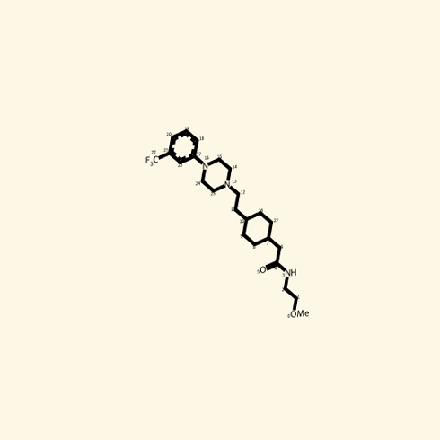 COCCNC(=O)CC1CCC(CCN2CCN(c3cccc(C(F)(F)F)c3)CC2)CC1